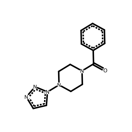 O=C(c1ccccc1)N1CCN(n2ccnn2)CC1